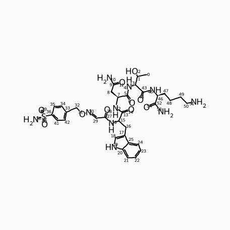 CC(O)[C@H](NC(=O)[C@H](CC(N)=O)NC(=O)C(Cc1c[nH]c2ccccc12)NC(=O)/C=N/OCc1ccc(S(N)(=O)=O)cc1)C(=O)N[C@@H](CCCCN)C(N)=O